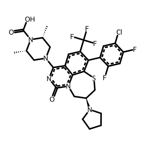 C[C@@H]1CN(c2nc(=O)n3c4c(c(-c5cc(Cl)c(F)cc5F)c(C(F)(F)F)cc24)SC[C@@H](N2CCCC2)C3)C[C@H](C)N1C(=O)O